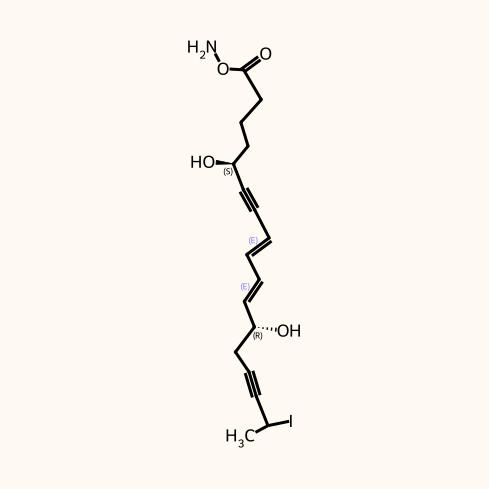 CC(I)C#CC[C@@H](O)/C=C/C=C/C#C[C@@H](O)CCCC(=O)ON